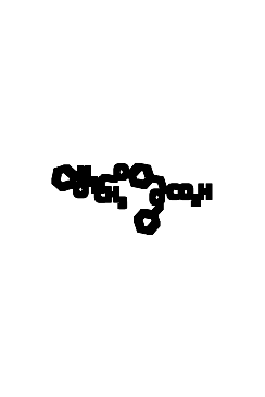 CN(CCOc1ccc(CC(OCc2ccccc2)C(=O)O)cc1)c1nc2ccccc2o1